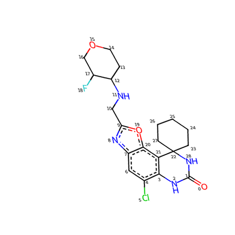 O=C1Nc2c(Cl)cc3nc(CNC4CCOCC4F)oc3c2C2(CCCCC2)N1